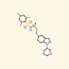 Cc1cc(C)c(S(=O)(=O)N[C@@H](C)CCc2ccc3c(cnn3-c3cncnc3)c2)c(C)c1